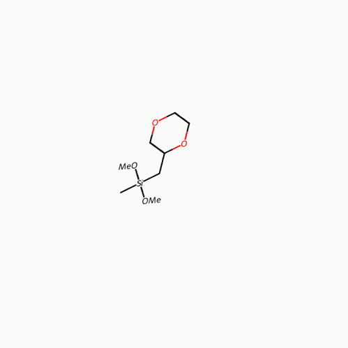 CO[Si](C)(CC1COCCO1)OC